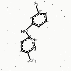 Cc1ccc(Nc2cccc(Cl)c2)nn1